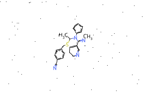 C/N=C(/C1=CCCN=C1)N(c1ccccc1)C(C)SCc1ccc(C#N)cc1